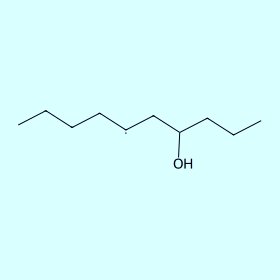 CCCC[CH]CC(O)CCC